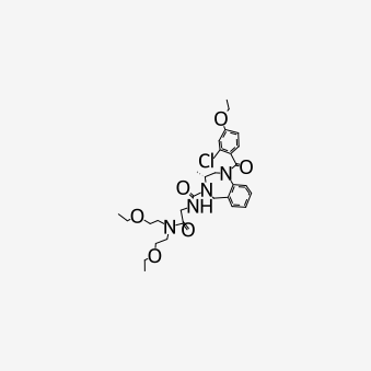 CCOCCN(CCOCC)C(=O)CNC(=O)N1Cc2ccccc2N(C(=O)c2ccc(OCC)cc2Cl)C[C@H]1C